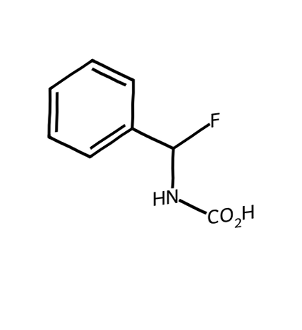 O=C(O)NC(F)c1ccccc1